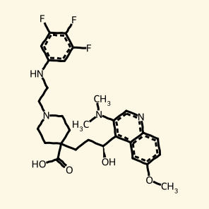 COc1ccc2ncc(N(C)C)c([C@@H](O)CCC3(C(=O)O)CCN(CCNc4cc(F)c(F)c(F)c4)CC3)c2c1